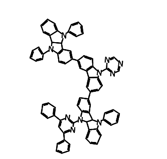 c1ccc(-c2cc(-c3ccccc3)nc(N3c4ccc(-c5ccc6c(c5)c5cc(-c7ccc8c(c7)C7C(c9ccccc9N7c7ccccc7)N8c7ccccc7)ccc5n6-c5ncncn5)cc4C4C3c3ccccc3N4c3ccccc3)n2)cc1